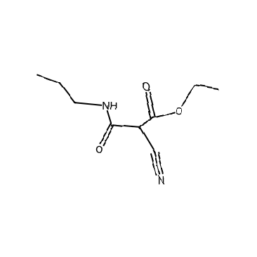 CCCNC(=O)C(C#N)C(=O)OCC